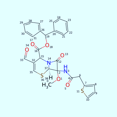 COC1(NC(=O)Cc2cccs2)C(=O)N2C(C(=O)OC(c3ccccc3)c3ccccc3)C(C=O)=CS[C@@H]21